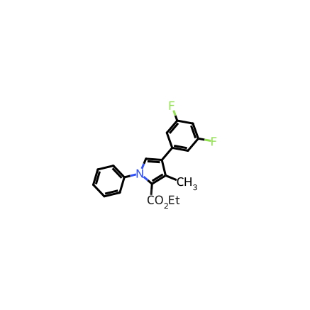 CCOC(=O)c1c(C)c(-c2cc(F)cc(F)c2)cn1-c1ccccc1